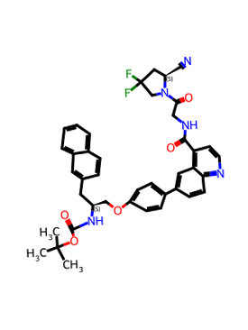 CC(C)(C)OC(=O)N[C@H](COc1ccc(-c2ccc3nccc(C(=O)NCC(=O)N4CC(F)(F)C[C@H]4C#N)c3c2)cc1)Cc1ccc2ccccc2c1